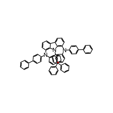 C1=CC(n2c3c(N(c4ccc(-c5ccccc5)cc4)c4ccc(-c5ccccc5)cc4)cccc3c3cccc(N(c4ccc(-c5ccccc5)cc4)c4ccc(-c5ccccc5)cc4)c32)=CCC1